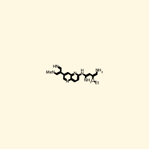 CCOC(/C=C(\N)Nc1ccc2ncc(/C(C=N)=C/NC)cc2n1)=C/N